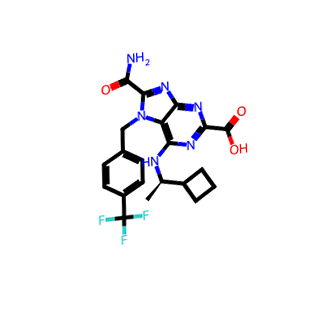 C[C@@H](Nc1nc(C(=O)O)nc2nc(C(N)=O)n(Cc3ccc(C(F)(F)F)cc3)c12)C1CCC1